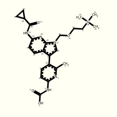 Cc1nc(NC(=O)O)ccc1-c1cn(COCC[Si](C)(C)C)c2nc(NC(=O)C3CC3)ccc12